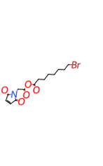 O=C(CCCCCCCBr)OC(=O)CN1C(=O)C=CC1=O